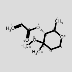 C=CC(=O)O[C@@H]1C(C)OCCC1(C)OC